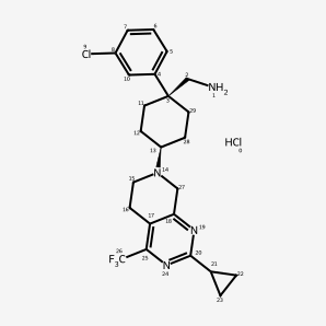 Cl.NC[C@]1(c2cccc(Cl)c2)CC[C@H](N2CCc3c(nc(C4CC4)nc3C(F)(F)F)C2)CC1